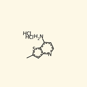 Cc1cc2nccc(N)c2s1.Cl.Cl